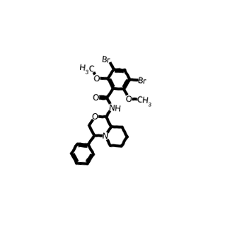 COc1c(Br)cc(Br)c(OC)c1C(=O)NC1OCC(c2ccccc2)N2CCCCC12